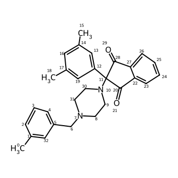 Cc1cccc(CN2CCN(C3(c4cc(C)cc(C)c4)C(=O)c4ccccc4C3=O)CC2)c1